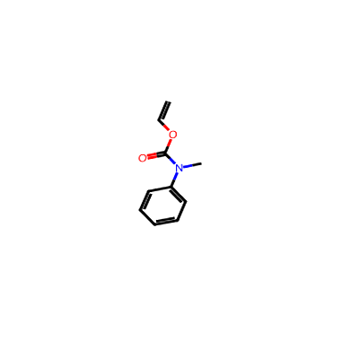 C=COC(=O)N(C)c1ccccc1